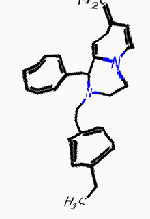 C=C1C=CN2CCN(Cc3ccc(CC)cc3)C(c3ccccc3)C2=C1